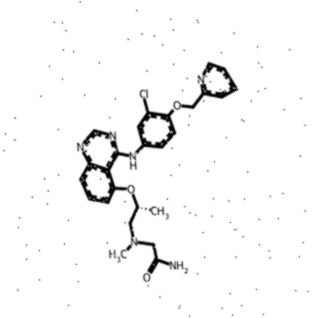 C[C@H](CN(C)CC(N)=O)Oc1cccc2ncnc(Nc3ccc(OCc4ccccn4)c(Cl)c3)c12